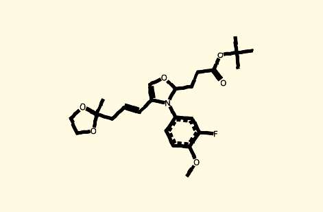 COc1ccc(N2C(/C=C/CC3(C)OCCO3)=COC2CCC(=O)OC(C)(C)C)cc1F